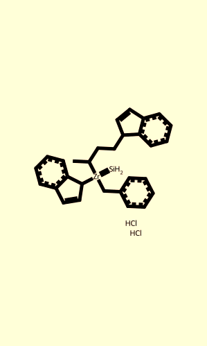 C[CH](CCC1C=Cc2ccccc21)[Zr](=[SiH2])([CH2]c1ccccc1)[CH]1C=Cc2ccccc21.Cl.Cl